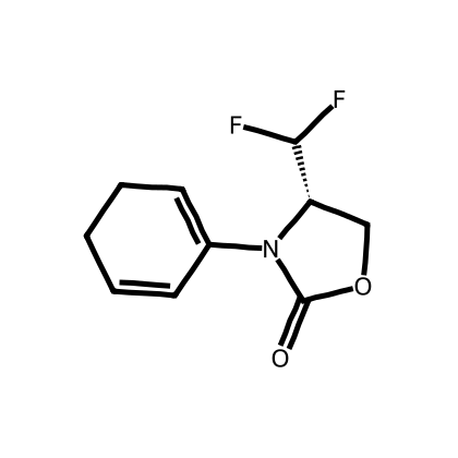 O=C1OC[C@@H](C(F)F)N1C1=CCCC=C1